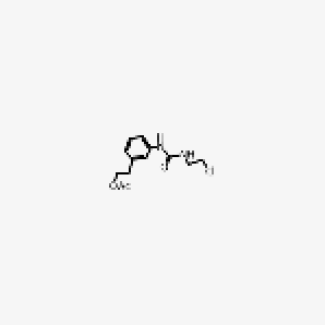 CC(=O)OCCc1cccc(NC(=O)NCCCl)c1